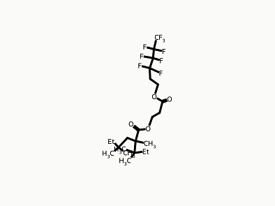 CCC(C)(C)CC(C)(C(=O)OCCC(=O)OCCC(F)(F)C(F)(F)C(F)(F)C(F)(F)F)C(C)(C)CC